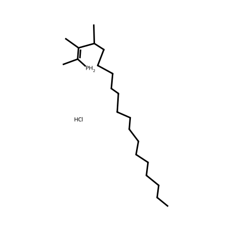 CCCCCCCCCCCCCCCC(C)C(C)=C(C)P.Cl